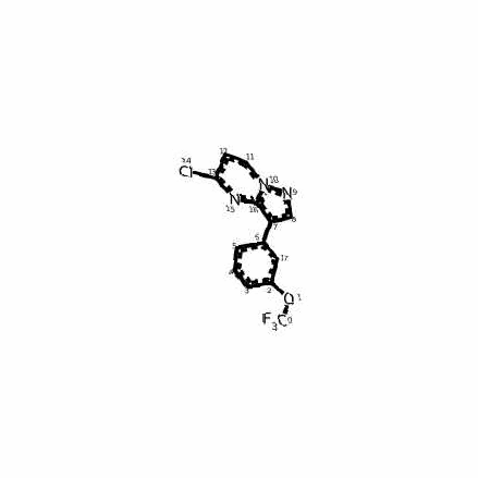 FC(F)(F)Oc1cccc(-c2cnn3ccc(Cl)nc23)c1